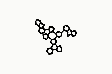 c1ccc2c(c1)-c1cc3c4ccccc4c4ccccc4c3cc1-c1ccc(-c3cccc4c3oc3ccccc34)cc1-c1cccc(-c3cccc4c3oc3ccccc34)c1-2